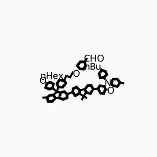 CCCCCCOc1ccc(C2(c3ccc(CCCOc4ccc(C=O)cc4)cc3)c3cc(C)ccc3-c3ccc(-c4ccc5c(c4)C(C)(C)c4cc(-c6ccc7c(c6)N(c6ccc(CCCC)cc6)c6ccc(C)cc6O7)ccc4-5)cc32)cc1